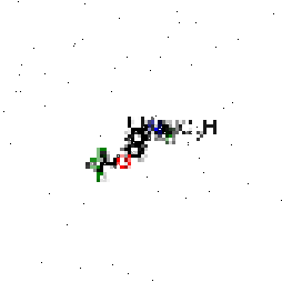 C[C@H]1Cc2cc(OC=CC(F)C(F)F)ccc2C=C1CN1CC(F)(C(=O)O)C1